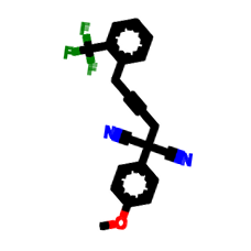 COc1ccc(C(C#N)(C#N)CC#CCc2ccccc2C(F)(F)F)cc1